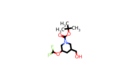 CC(C)(C)OC(=O)N1CC(CO)CC(OC(F)F)C1